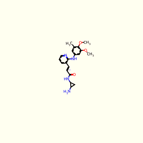 COc1cc(Nc2ncccc2/C=C/C(=O)NC2CC2N)cc(C)c1OC